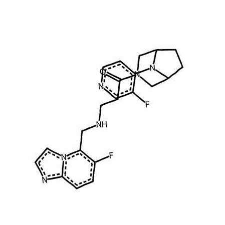 O=C(CCNCc1c(F)ccc2nccn12)N1CC2CCC(C1)N2c1ccncc1F